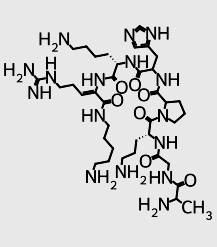 CC(N)C(=O)NCC(=O)N[C@H](CCCN)C(=O)N1CCCC1C(=O)NC(Cc1cnc[nH]1)C(=O)N[C@@H](CCCCN)C(=O)N/C(=C\CCNC(=N)N)C(=O)NCCCCCN